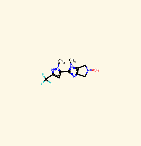 Cn1nc(C(F)(F)F)cc1-c1nc2c(n1C)CN(O)C2